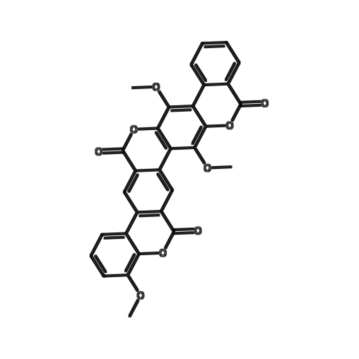 COc1cccc2c1oc(=O)c1cc3c(cc12)c(=O)oc1c(OC)c2c(oc(=O)c4ccccc42)c(OC)c13